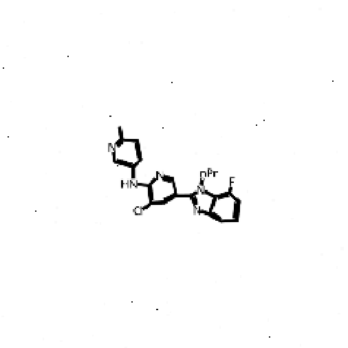 CCCn1c(-c2cnc(Nc3ccc(C)nc3)c(Cl)c2)nc2cccc(F)c21